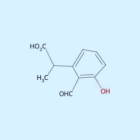 CC(C(=O)O)c1cccc(O)c1C=O